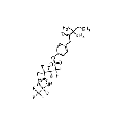 CCC(C)(C)C(=O)Cc1ccc(OS(=O)(=O)C(F)(F)C(F)(F)C(F)(F)S(=O)(=O)NS(=O)(=O)C(F)(F)F)cc1